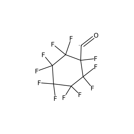 O=[C]C1(F)C(F)(F)C(F)(F)C(F)(F)C(F)(F)C1(F)F